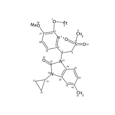 CCOc1nc(C(CS(C)(=O)=O)n2c(=O)n(C3CC3)c3cc(C)ccc32)ccc1OC